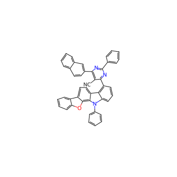 N#Cc1c(-c2ccc3ccccc3c2)nc(-c2ccccc2)nc1-c1cccc2c1c1ccc3c4ccccc4oc3c1n2-c1ccccc1